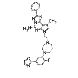 Cc1cn(CCN2CCCN(c3cc(-c4ncco4)ccc3F)CC2)c2nc(N)n3nc(-c4ccccn4)nc3c12